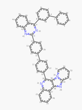 c1ccc(-c2cccc(-c3nc(-c4ccc(-c5ccc(-c6nc7ccccc7c7nc8ccccn8c67)cc5)cc4)nc4ccccc34)c2)cc1